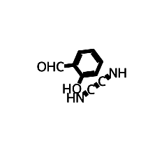 N=C=C=N.O=Cc1ccccc1O